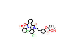 C[C@H](Oc1cccc(CCNC(=O)C2c3ccccc3C(=O)N(C3CCCCC3O)C2c2ccc(Cl)cc2Cl)c1)C(=O)O